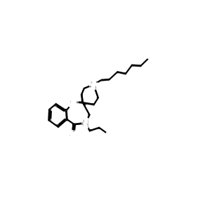 CCCCCCCN1CCC2(CC1)CN(CCC)C(=O)c1ccccc1O2